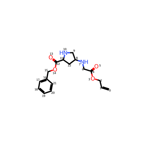 C=CCOC(=O)CNC1CNC(C(=O)OCc2ccccc2)C1